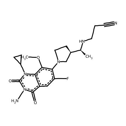 COc1c(N2CC[C@@H]([C@H](C)NCCC#N)C2)c(F)cc2c(=O)n(N)c(=O)n(C3CC3)c12